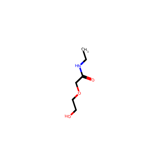 CCNC(=O)COCCO